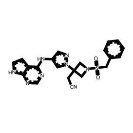 N#CCC1(n2cc(Nc3ncnc4[nH]ccc34)cn2)CN(S(=O)(=O)Cc2ccccc2)C1